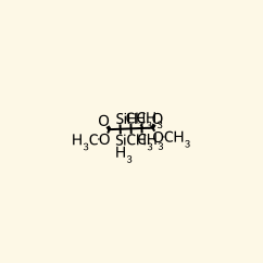 COC(=O)C(C)(C)C(C)(C)C([SiH3])([SiH3])C(=O)OC